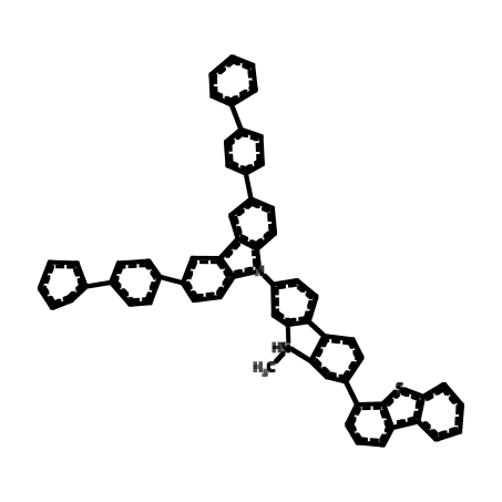 C[SiH]1c2cc(-c3cccc4c3sc3ccccc34)ccc2-c2ccc(-n3c4ccc(-c5ccc(-c6ccccc6)cc5)cc4c4cc(-c5ccc(-c6ccccc6)cc5)ccc43)cc21